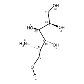 N[C@@H](CO[O])[C@@H](O)[C@@H](O)[C@H](O)CO